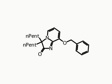 CCCCCC1(CCCCC)C(=O)N=C2C(OCc3ccccc3)=CC=CN21